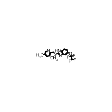 Cc1cnc(CSc2nc3cc(OC(F)(F)C(F)F)ccc3[nH]2)c(C)c1